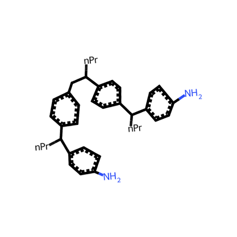 CCCC(Cc1ccc(C(CCC)c2ccc(N)cc2)cc1)c1ccc(C(CCC)c2ccc(N)cc2)cc1